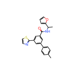 Cc1ccc(-c2cc(C(=O)NC(C)c3ccco3)cc(-c3nccs3)c2)cc1